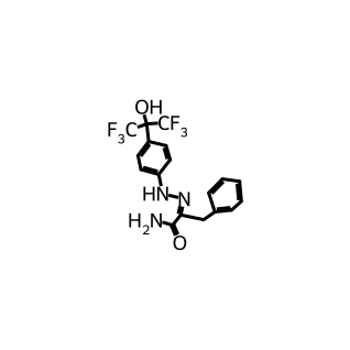 NC(=O)C(Cc1ccccc1)=NNc1ccc(C(O)(C(F)(F)F)C(F)(F)F)cc1